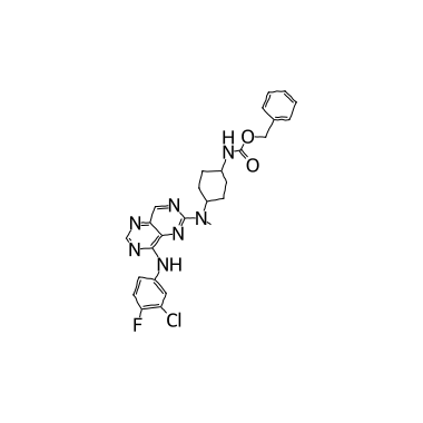 CN(c1ncc2ncnc(Nc3ccc(F)c(Cl)c3)c2n1)C1CCC(NC(=O)OCc2ccccc2)CC1